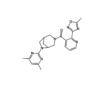 Cc1cc(C)nc(N2CC3CC2CN(C(=O)c2cccnc2-c2noc(C)n2)C3)n1